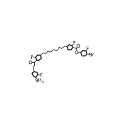 Bc1ccc(CCC(=O)c2ccc(CCCCCCCCCc3ccc(C(=O)Oc4ccc(Br)c(F)c4)c(F)c3)cc2F)cc1F